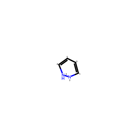 C1=C[N]NC=C1